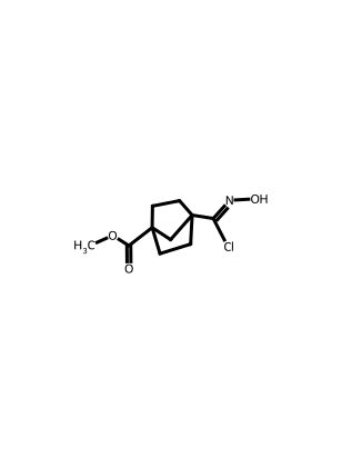 COC(=O)C12CCC(C(Cl)=NO)(CC1)C2